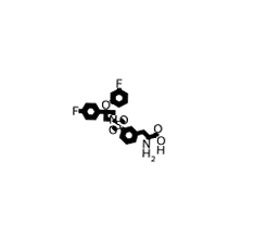 NC(Cc1cccc(S(=O)(=O)N2CC(Oc3cccc(F)c3)(c3ccc(F)cc3)C2)c1)C(=O)O